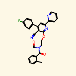 Cc1ccccc1C(=O)N(C=O)CCOc1nc(-c2ccccn2)cc(-c2ccc(F)cc2)c1C#N